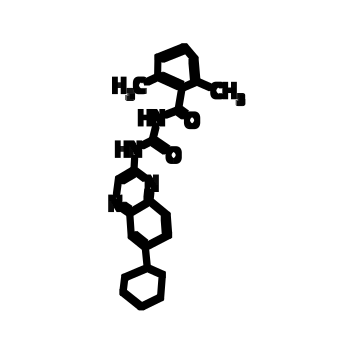 Cc1cccc(C)c1C(=O)NC(=O)Nc1cnc2cc(C3CCCCC3)ccc2n1